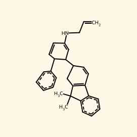 C=CCNC1=CC(C2C=CC3=C(C2)C(C)(C)c2ccccc23)C(c2ccccc2)C=C1